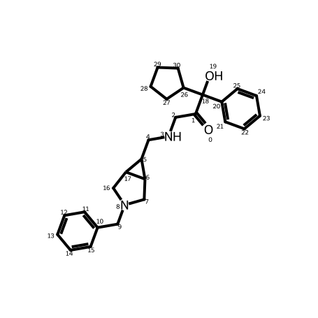 O=C(CNCC1C2CN(Cc3ccccc3)CC12)C(O)(c1ccccc1)C1CCCC1